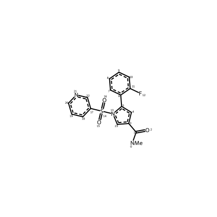 CNC(=O)c1cc(-c2ccccc2F)n(S(=O)(=O)c2cccnc2)c1